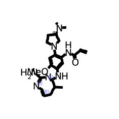 C=CC(=O)Nc1cc(N/C2=N/C(N)=N\C=C\CC2C)c(OC)cc1N1CC[C@@H](N(C)C)C1